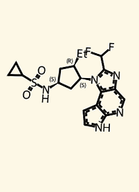 CC[C@@H]1C[C@H](NS(=O)(=O)C2CC2)C[C@@H]1n1c(C(F)F)nc2cnc3[nH]ccc3c21